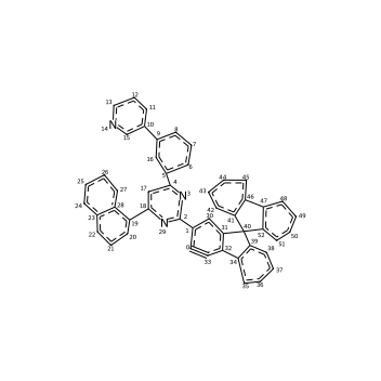 c1c(-c2nc(-c3cccc(-c4cccnc4)c3)cc(-c3cccc4ccccc34)n2)cc2c(c#1)-c1ccccc1C21c2ccccc2-c2ccccc21